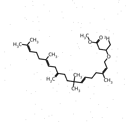 [2H]CC(CC(=O)OC)OC/C=C(/C)CC/C=C/C(C)(C)CCC(=C)C/C=C(\C)CCC=C(C)C